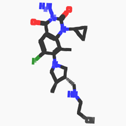 Cc1c(N2C[C@H](CNCCC#N)[C@@H](C)C2)c(F)cc2c(=O)n(N)c(=O)n(C3CC3)c12